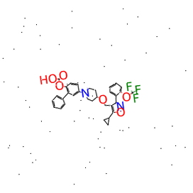 O=C(O)Oc1ccc(N2CCC(OCc3c(-c4ccccc4OC(F)(F)F)noc3C3CC3)CC2)cc1-c1ccccc1